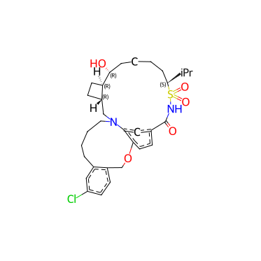 CC(C)[C@@H]1CCCC[C@@H](O)[C@@H]2CC[C@H]2CN2CCCCc3cc(Cl)ccc3COc3ccc(cc32)C(=O)NS1(=O)=O